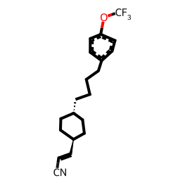 N#CC=C[C@H]1CC[C@H](CCCCc2ccc(OC(F)(F)F)cc2)CC1